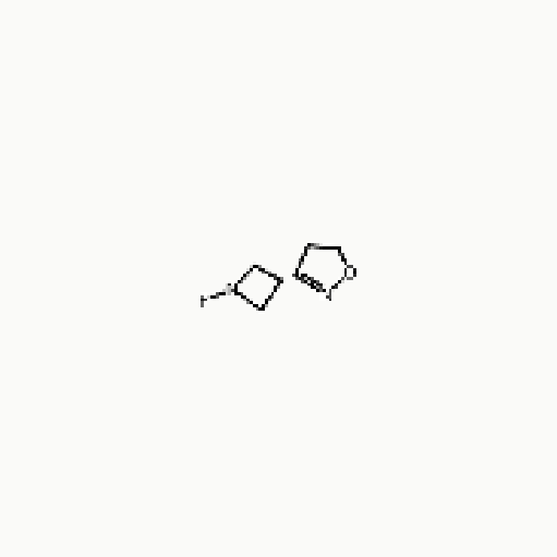 C1=NOCC1.FN1CCC1